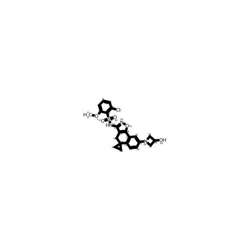 COc1cccc(Cl)c1S(=O)(=O)Nc1noc2c1CC1(CC1)c1ccc(N3CC(O)C3)cc1-2